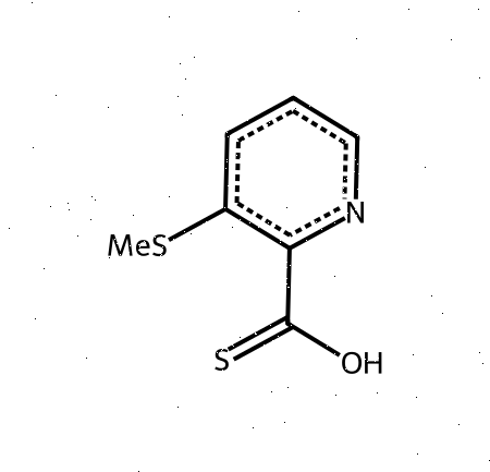 CSc1cccnc1C(O)=S